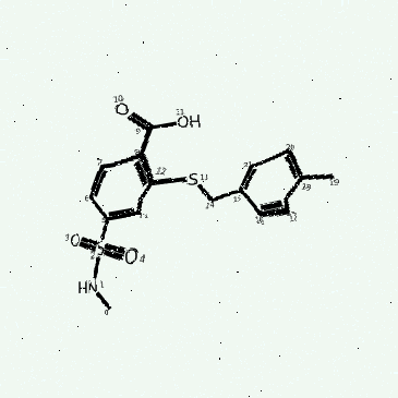 CNS(=O)(=O)c1ccc(C(=O)O)c(SCc2ccc(C)cc2)c1